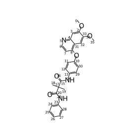 COc1cc2nccc(Oc3ccc(NC(=O)C(C)(C)C(=O)Nc4ccccc4)cc3)c2cc1OC